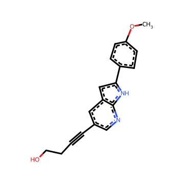 COc1ccc(-c2cc3cc(C#CCCO)cnc3[nH]2)cc1